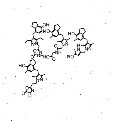 CCc1nn(Cc2n[nH]c(=O)o2)c(CC)c1Cc1cc(C)c(O)c2c1CCC2.Cc1cc(Cc2c(C)nn(CC(=O)NCC(=O)O)c2C)c2c(c1O)CCC2.Cc1cc(Cc2c(C)nn(CCc3n[nH]c(=O)o3)c2C)c2c(c1O)CCC2.Cc1cc(Cc2c(C)nn(Cc3cc(O)n[nH]3)c2C)c2c(c1O)CCC2